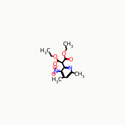 CCOC(=O)C(C(=O)OCC)c1nc(C)cc(C)c1[N+](=O)[O-]